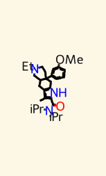 CCN1CCC2(c3cccc(OC)c3)Cc3[nH]c(C(=O)N(C(C)C)C(C)C)c(C)c3CC2C1